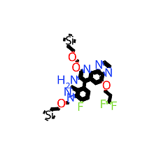 C[Si](C)(C)CCOCOc1nc2c(cc(OCCC(F)F)c3nccnc32)c(-c2ccc(F)c3c2cnn3COCC[Si](C)(C)C)c1N